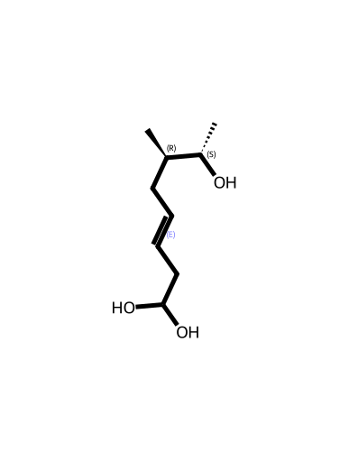 C[C@H](O)[C@H](C)C/C=C/CC(O)O